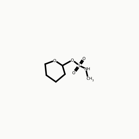 CNS(=O)(=O)OC1CCCCO1